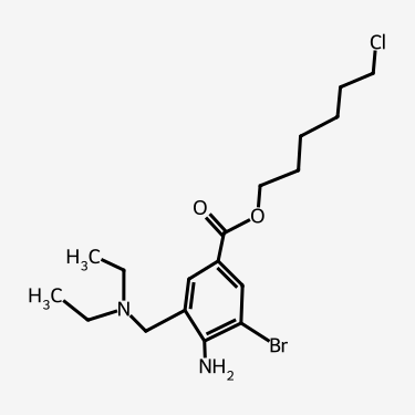 CCN(CC)Cc1cc(C(=O)OCCCCCCCl)cc(Br)c1N